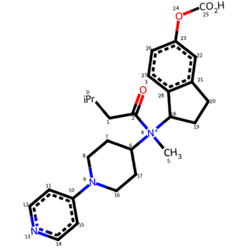 CC(C)CC(=O)[N+](C)(C1CCN(c2ccncc2)CC1)C1CCc2cc(OC(=O)O)ccc21